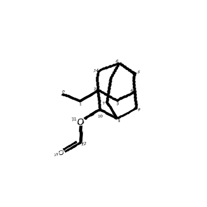 CCC12CC3CC(CC(C3)C1OC=O)C2